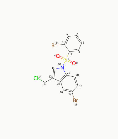 O=S(=O)(c1ccccc1Br)n1cc(CCl)c2cc(Br)ccc21